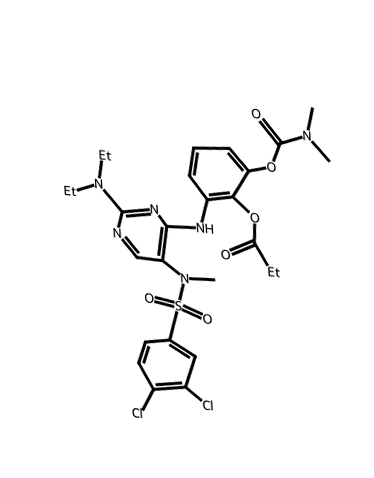 CCC(=O)Oc1c(Nc2nc(N(CC)CC)ncc2N(C)S(=O)(=O)c2ccc(Cl)c(Cl)c2)cccc1OC(=O)N(C)C